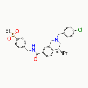 CCS(=O)(=O)c1ccc(CNC(=O)c2ccc3c(c2)CN(Cc2ccc(Cl)cc2)C[C@H]3C(C)C)cc1